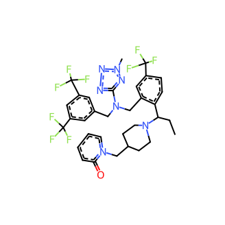 CCC(c1ccc(C(F)(F)F)cc1CN(Cc1cc(C(F)(F)F)cc(C(F)(F)F)c1)c1nnn(C)n1)N1CCC(Cn2ccccc2=O)CC1